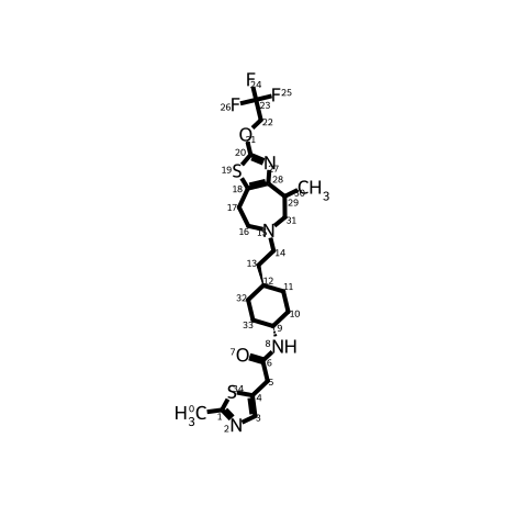 Cc1ncc(CC(=O)N[C@H]2CC[C@H](CCN3CCc4sc(OCC(F)(F)F)nc4C(C)C3)CC2)s1